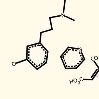 CN(C)CCCc1cccc(Cl)c1.O=C(O)/C=C\C(=O)O.c1ccncc1